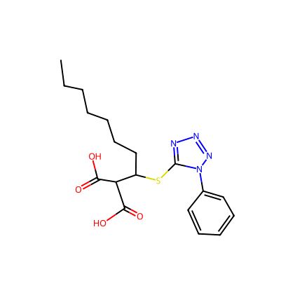 CCCCCCCC(Sc1nnnn1-c1ccccc1)C(C(=O)O)C(=O)O